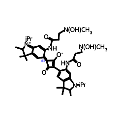 CC(C)N1c2cc(NC(=O)CCN(C)O)c(C3=C([O-])/C(=c4/cc5c(cc4NC(=O)CCN(C)O)=[N+](C(C)C)C(C)C5(C)C)C3=O)cc2C(C)(C)C1C